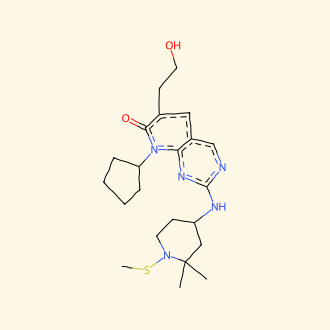 CSN1CCC(Nc2ncc3cc(CCO)c(=O)n(C4CCCC4)c3n2)CC1(C)C